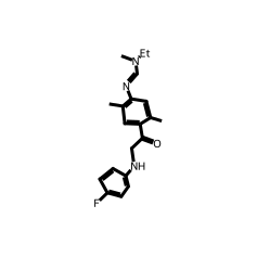 CCN(C)/C=N/c1cc(C)c(C(=O)CNc2ccc(F)cc2)cc1C